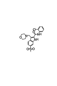 CS(=O)(=O)c1ccc2c(CN3CCOCC3)c(C(=O)Nc3ccccc3Cl)[nH]c2c1